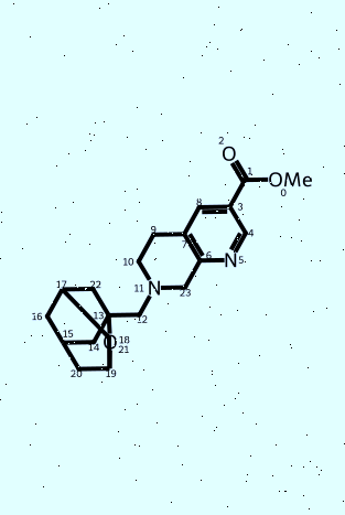 COC(=O)c1cnc2c(c1)CCN(CC13CC4CC(CC(C4)O1)C3)C2